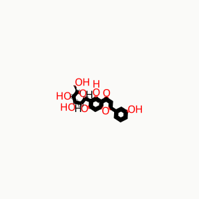 O=c1cc(-c2cccc(O)c2)oc2cc3c(c(O)c12)[C@@H]1O[C@H](CO)[C@@H](O)[C@H](O)[C@@H]1O3